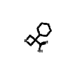 O=C(O)C1(C2CCCCC2)COC1